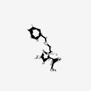 C[C@@H](COCc1ccccc1)n1nccc1C(=O)O